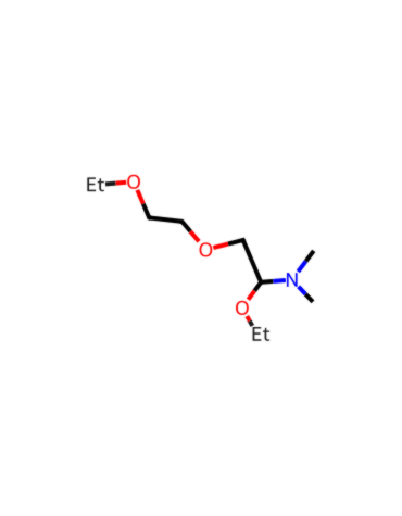 CCOCCOCC(OCC)N(C)C